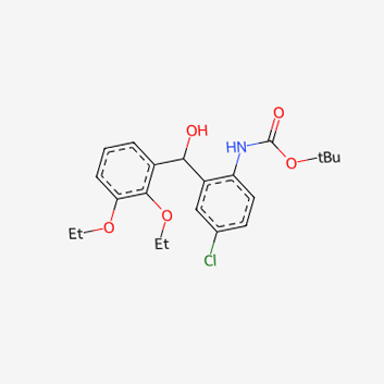 CCOc1cccc(C(O)c2cc(Cl)ccc2NC(=O)OC(C)(C)C)c1OCC